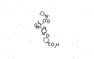 Cc1onc(-c2cnc(OC3CCC[C@H](C(=O)O)C3)cn2)c1COC(=O)N(C)C1CCCC1